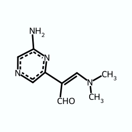 CN(C)C=C(C=O)c1cncc(N)n1